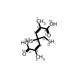 CC(=CC(S)(C=C(C)C(=O)O)CS)C(=O)O